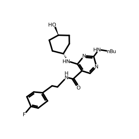 CCCCNc1ncc(C(=O)NCCc2ccc(F)cc2)c(N[C@H]2CC[C@H](O)CC2)n1